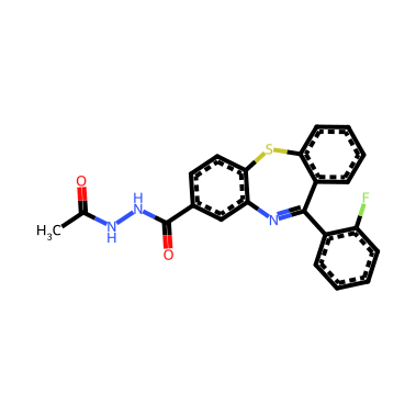 CC(=O)NNC(=O)c1ccc2c(c1)N=C(c1ccccc1F)c1ccccc1S2